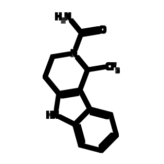 NC(=O)N1CCc2[nH]c3ccccc3c2C1C(F)(F)F